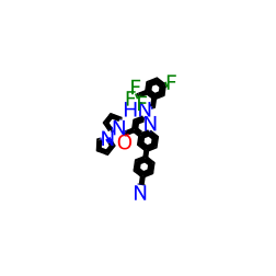 N#Cc1ccc(-c2ccc3nc(NCc4cc(F)ccc4C(F)(F)F)cc(C(=O)N4CCCC4N4CCCC4)c3c2)cc1